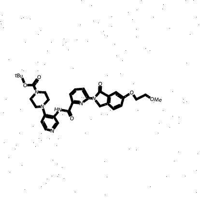 COCCOc1ccc2c(c1)C(=O)N(c1cccc(C(=O)Nc3cnccc3N3CCN(C(=O)OC(C)(C)C)CC3)n1)C2